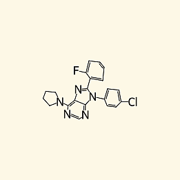 Fc1ccccc1-c1nc2c(N3CCCC3)ncnc2n1-c1ccc(Cl)cc1